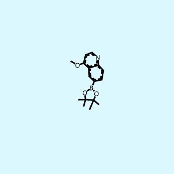 COc1ccnc2ccc(B3OC(C)(C)C(C)(C)O3)cc12